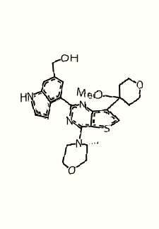 COC1(c2csc3c(N4CCOC[C@H]4C)nc(-c4cc(CO)cc5[nH]ccc45)nc23)CCOCC1